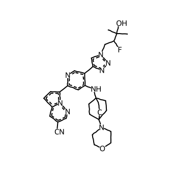 CC(C)(O)C(F)Cn1cc(-c2cnc(-c3ccc4cc(C#N)cnn34)cc2NC23CCC(N4CCOCC4)(CC2)CC3)nn1